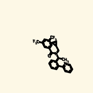 CC(c1ccccc1-c1ccccn1)N(CC1CC1)C(=O)c1cc(C(F)(F)F)cc(C(F)(F)F)c1